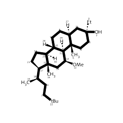 CC[C@]1(O)CC[C@@]2(C)[C@@H](CC[C@@H]3[C@@H]2[C@@H](OC)C[C@]2(C)[C@@H]([C@H](C)CCC(C)(C)C)CC[C@@H]32)C1